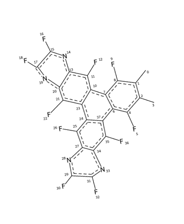 Cc1c(C)c(F)c2c(c1F)c1c(F)c3nc(F)c(F)nc3c(F)c1c1c(F)c3nc(F)c(F)nc3c(F)c21